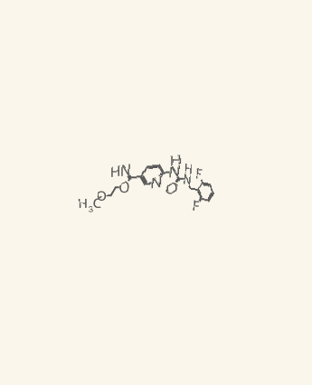 COCCOC(=N)c1ccc(NC(=O)NCc2c(F)cccc2F)nc1